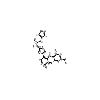 CCc1ccc(Nc2c(-c3nnc(NC(C)Cc4ccsc4)o3)ccc(F)c2F)c(F)c1